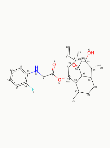 C=C[C@]1(C)C[C@@H](OC(=O)CNc2ccccc2F)[C@]2(C)C(C)CCC(C2C(=O)CC)[C@@H](C)C1O